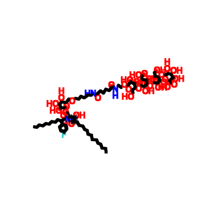 CCCCCCCCCCCCCC[C@@H](O)[C@@H](O)[C@H](COC1OC(COCCCCCCNC(=O)CCCCC(=O)NCCOC2OC(CO)C(OC3OC(C(=O)O)C(O)C(OC4OC(CO)C(OC5OC(C(=O)O)C(O)C(O)C5O)C(O)C4O)C3O)C(O)C2O)C(O)C(O)C1O)NC(=O)C(CCCCCCCCC)c1ccc(F)cc1